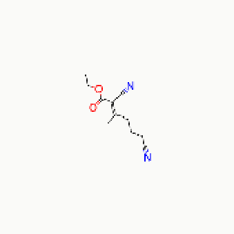 CCOC(=O)/C(C#N)=C(\C)CCCC#N